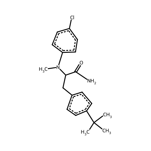 CN(c1ccc(Cl)cc1)C(Cc1ccc(C(C)(C)C)cc1)C(N)=O